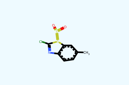 Cc1ccc2c(c1)S(=S(=O)=O)C(Cl)=N2